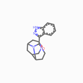 O=C(c1n[nH]c2ccccc12)N1C2CCN3CCC1C(C2)C3